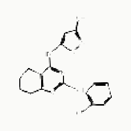 Cc1cc(Nc2nc(N)nc3c2CCCC3)[nH]n1.Clc1ccccc1